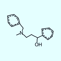 CN(CCC(O)c1ccccc1)Cc1ccccc1